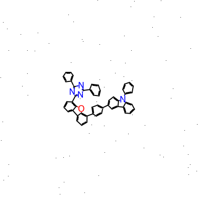 c1ccc(-c2nc(-c3ccccc3)nc(-c3cccc4c3oc3c(-c5ccc(-c6ccc7c(c6)c6ccccc6n7-c6ccccc6)cc5)cccc34)n2)cc1